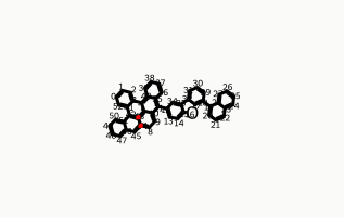 c1ccc(-c2c3ccccc3c(-c3ccc4oc5c(-c6cccc7ccccc67)cccc5c4c3)c3ccccc23)c(-c2cccc3ccccc23)c1